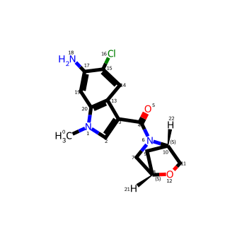 Cn1cc(C(=O)N2C[C@@H]3C[C@H]2CO3)c2cc(Cl)c(N)cc21